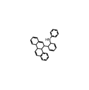 C1=CC2=CC(C3C=CC=CC3Nc3ccccc3)C3c4ccccc4C=CC3C2C=C1